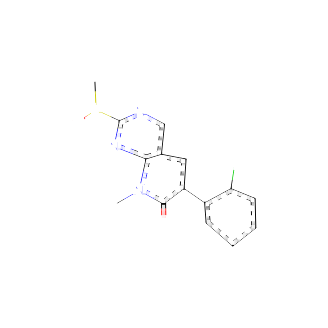 Cn1c(=O)c(-c2ccccc2Cl)cc2cnc([S+](C)[O-])nc21